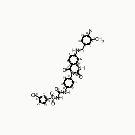 Cc1cc(CNc2ccc3c(=O)n(-c4ccc(NC(=O)NS(=O)(=O)c5ccc(Cl)s5)cc4)c(=O)[nH]c3c2)ccc1F